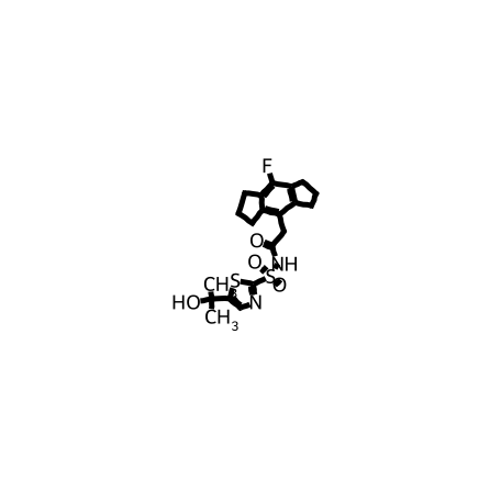 CC(C)(O)c1cnc(S(=O)(=O)NC(=O)Cc2c3c(c(F)c4c2CCC4)CCC3)s1